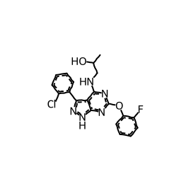 CC(O)CNc1nc(Oc2ccccc2F)nc2[nH]nc(-c3ccccc3Cl)c12